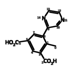 Cc1c(C(=O)O)cc(C(=O)O)cc1-c1cnccn1